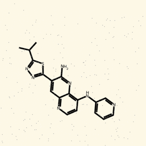 CC(C)c1nnc(-c2cc3nccc(Nc4cccnc4)c3nc2N)s1